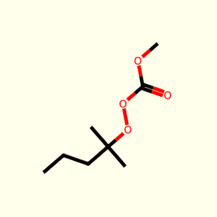 CCCC(C)(C)OOC(=O)OC